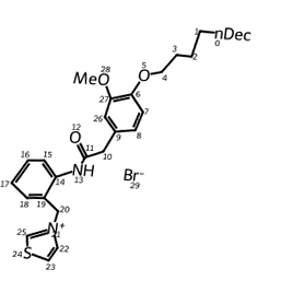 CCCCCCCCCCCCCCOc1ccc(CC(=O)Nc2ccccc2C[n+]2ccsc2)cc1OC.[Br-]